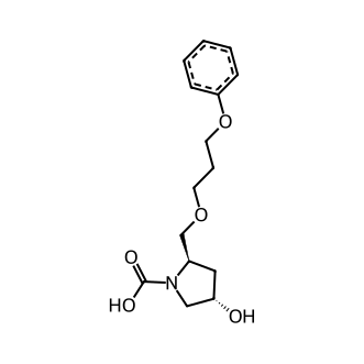 O=C(O)N1C[C@@H](O)C[C@@H]1COCCCOc1ccccc1